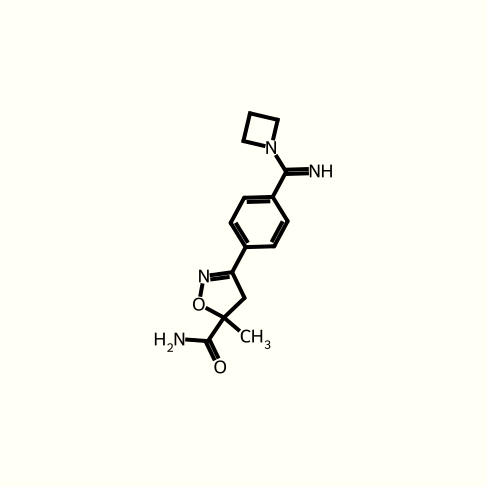 CC1(C(N)=O)CC(c2ccc(C(=N)N3CCC3)cc2)=NO1